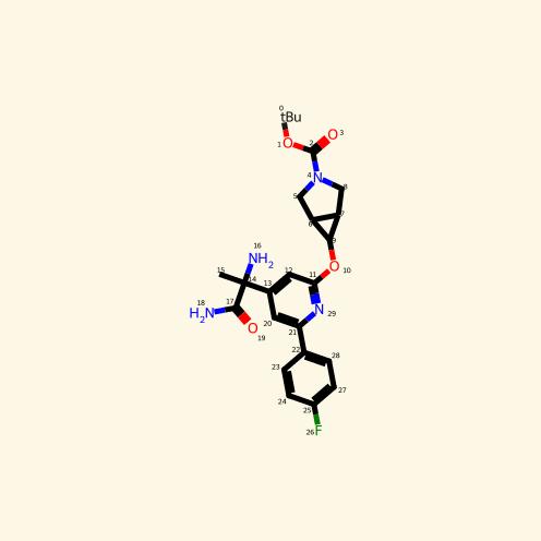 CC(C)(C)OC(=O)N1CC2C(C1)C2Oc1cc(C(C)(N)C(N)=O)cc(-c2ccc(F)cc2)n1